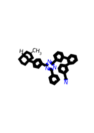 C[C@H]1C[C@H]2CCCC(c3ccc(-c4nc(-c5ccccc5)nc(-c5cccc(-c6ccccc6-c6cccc(C#N)c6)c5)n4)cc3)(C1)C2